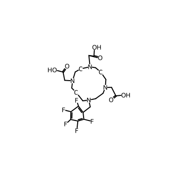 O=C(O)CN1CCCN(CC(=O)O)CCN(Cc2c(F)c(F)c(F)c(F)c2F)CCCN(CC(=O)O)CC1